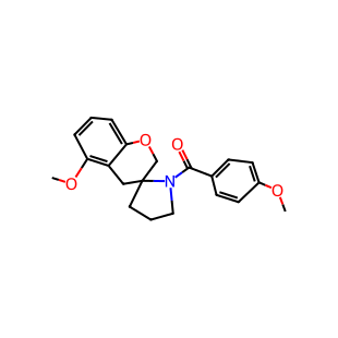 COc1ccc(C(=O)N2CCCC23COc2cccc(OC)c2C3)cc1